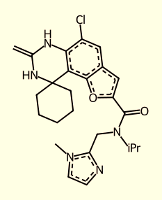 C=C1Nc2c(Cl)cc3cc(C(=O)N(Cc4nccn4C)C(C)C)oc3c2C2(CCCCC2)N1